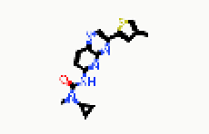 Cc1csc(-c2cnc3ccc(NC(=O)N(C)C4CC4)nc3n2)c1